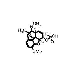 COc1ccc2c3c1O[C@H]1[C@@H](OP(=O)(O)O)C=C[C@H]4[C@@H](C2)N(C)CC[C@@]341.O